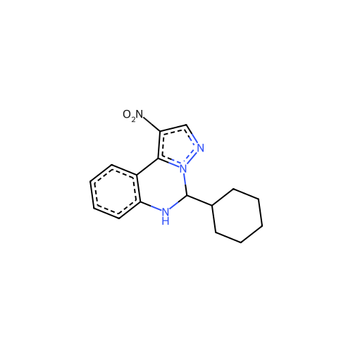 O=[N+]([O-])c1cnn2c1-c1ccccc1NC2C1CCCCC1